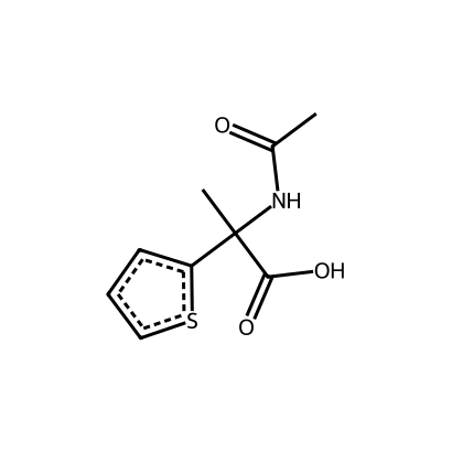 CC(=O)NC(C)(C(=O)O)c1cccs1